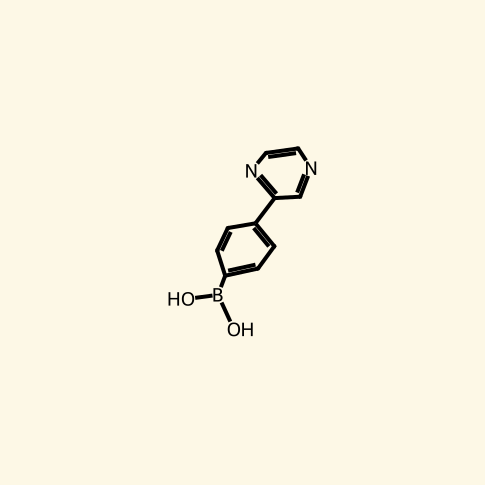 OB(O)c1ccc(-c2cnccn2)cc1